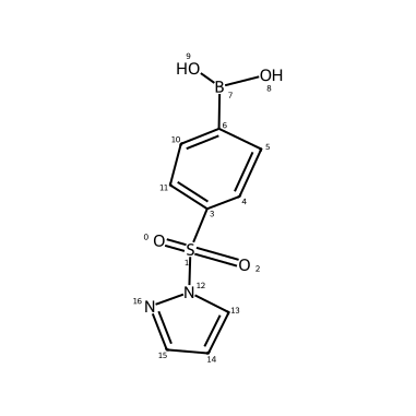 O=S(=O)(c1ccc(B(O)O)cc1)n1cccn1